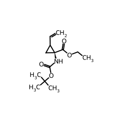 C=CC1C[C@@]1(NC(=O)OC(C)(C)C)C(=O)OCC